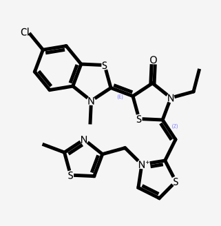 CCn1c(=O)/c(=C2\Sc3cc(Cl)ccc3N2C)s/c1=C\c1scc[n+]1Cc1csc(C)n1